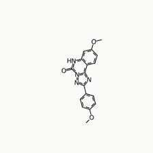 COc1ccc(-c2nc3c4ccc(OC)cc4[nH]c(=O)n3n2)cc1